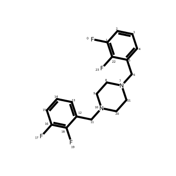 Fc1cccc([CH]N2CCN(Cc3cccc(F)c3F)CC2)c1F